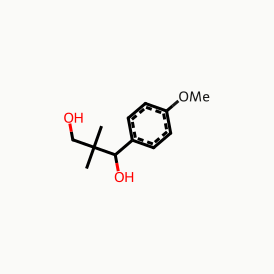 COc1ccc(C(O)C(C)(C)CO)cc1